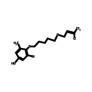 CCc1cc(O)cc(C)c1OCCCCCOC/C=C(\Cl)C(F)(F)F